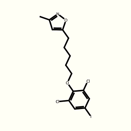 Cc1cc(CCCCCOc2c(Cl)cc(I)cc2Cl)on1